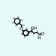 OC(CCNCl)c1cccc(OCC2CCCCC2)c1